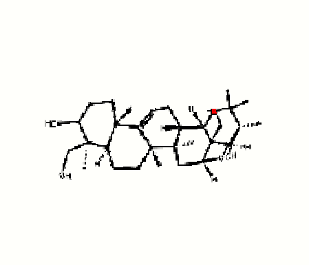 CC1(C)C[C@H]2[C@H]3CC=C4[C@@]5(C)CC[C@H](O)[C@](C)(CO)[C@@H]5CC[C@@]4(C)[C@]3(C)C[C@H]3O[C@@H]1[C@@H](O)[C@]32CO